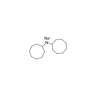 C1CCCC([N-]C2CCCCCCC2)CCC1.[Na+]